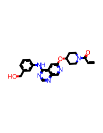 C=CC(=O)N1CCC(Oc2cc3c(Nc4cccc(CO)c4)ncnc3cn2)CC1